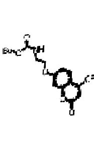 CC(C)(C)OC(=O)NCCOc1ccc2c(C(F)(F)F)cc(=O)oc2c1